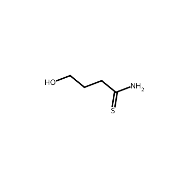 NC(=S)CCCO